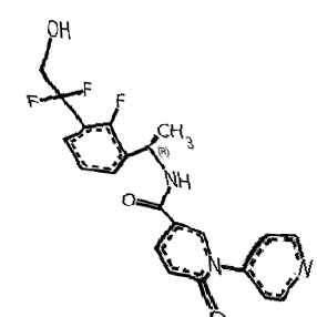 C[C@@H](NC(=O)c1ccc(=O)n(-c2ccncc2)c1)c1cccc(C(F)(F)CO)c1F